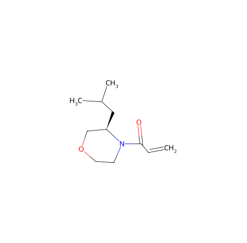 C=CC(=O)N1CCOC[C@H]1CC(C)C